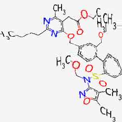 CCCCc1nc(C)c(CC(=O)OCC)c(OCc2ccc(-c3ccccc3S(=O)(=O)N(COC)c3noc(C)c3C)c(COCC)c2)n1